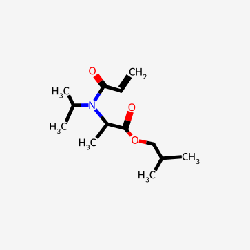 C=CC(=O)N(C(C)C)C(C)C(=O)OCC(C)C